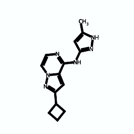 Cc1cc(Nc2nccn3nc(C4CCC4)cc23)n[nH]1